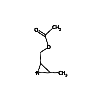 CC(=O)OCC1[N]C1C